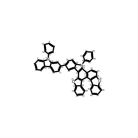 c1ccc(-n2c3ccccc3c3ccc(-c4ccc5c(c4)c4c6oc7ccccc7c6c6c(ccc7oc8ccccc8c76)c4n5-c4ccccc4)cc32)cc1